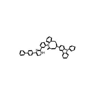 C=C1/C=C\C(c2ccc3c(c2)c2ccccc2n3-c2ccccc2)=C/Cc2ccccc2N1c1cccc(C2=NC(c3ccc(-c4ccccc4)cc3)=CCN2)c1